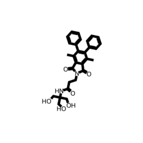 Cc1c2c(c(C)c(-c3ccccc3)c1-c1ccccc1)C(=O)N(CCC(=O)NC(CO)(CO)CO)C2=O